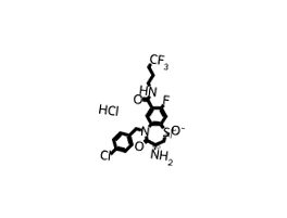 Cl.N[C@H]1C[S@+]([O-])c2cc(F)c(C(=O)NCCCC(F)(F)F)cc2N(Cc2ccc(Cl)cc2)C1=O